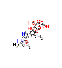 Cc1cc(-c2cncc(C(=O)NC(C)C)c2)ccc1O[C@H]1O[C@H](CO)[C@@H](O)[C@H](O)[C@@H]1O